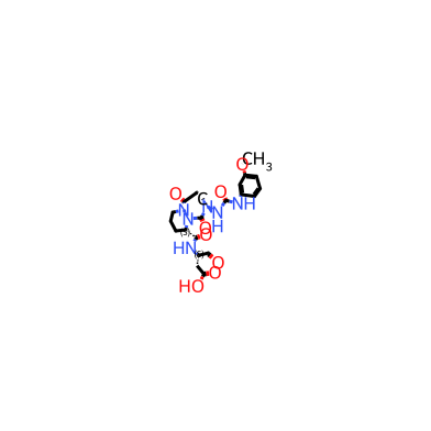 COc1cccc(NC(=O)NN2CCC(=O)N3CCC[C@@H](C(=O)N[C@H](C=O)CC(=O)O)N3C2=O)c1